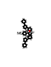 C/C=C\C=C(\c1c(-n2c3ccccc3c3cc(-c4ccccc4)ccc32)cc(C#N)cc1-n1c2ccccc2c2cc(-c3ccccc3)ccc21)C(C)CC